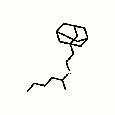 CCCCC(C)OCCC12CC3CC(CC(C3)C1)C2